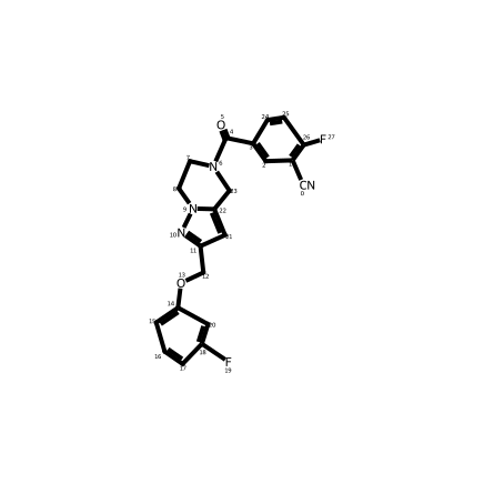 N#Cc1cc(C(=O)N2CCn3nc(COc4cccc(F)c4)cc3C2)ccc1F